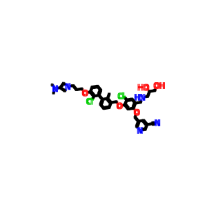 Cc1c(COc2cc(OCc3cncc(C#N)c3)c(CNCC(O)CO)cc2Cl)cccc1-c1cccc(OCCCN2CC(N(C)C)C2)c1Cl